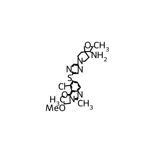 COC(C)Cn1c(C)nc2ccc(Sc3cnc(N4CCC5(CC4)CO[C@@H](C)[C@H]5N)cn3)c(Cl)c2c1=O